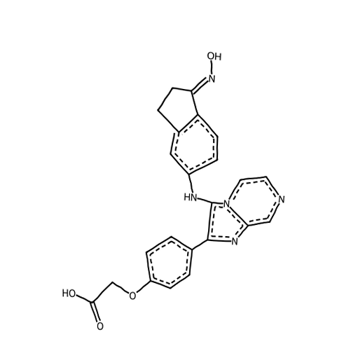 O=C(O)COc1ccc(-c2nc3cnccn3c2Nc2ccc3c(c2)CC/C3=N\O)cc1